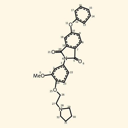 COc1cc(N2C(=O)c3ccc(Oc4ccccc4)cc3C2=O)ccc1OCCN1CCCC1